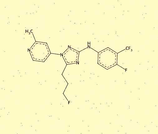 Cc1cc(-n2nc(Nc3ccc(F)c(C(F)(F)F)c3)nc2CCCF)ccn1